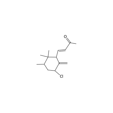 C=C1C(Cl)CC(C)C(C)(C)C1C=CC(C)=O